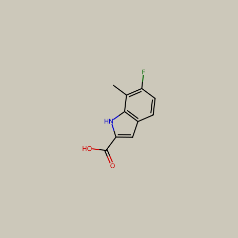 Cc1c(F)ccc2cc(C(=O)O)[nH]c12